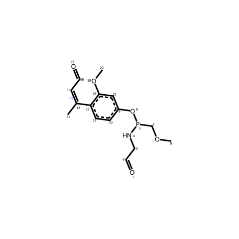 COCP(NCC=O)Oc1ccc(/C(C)=C\C=O)c(OC)c1